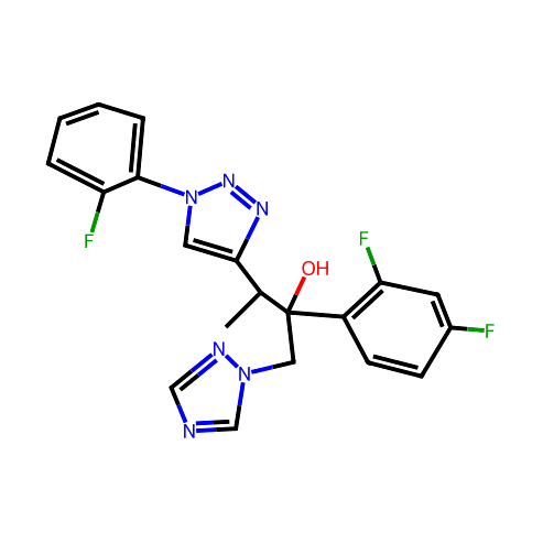 CC(c1cn(-c2ccccc2F)nn1)C(O)(Cn1cncn1)c1ccc(F)cc1F